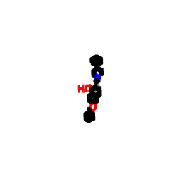 O[C@@H]1c2ccc(OCc3ccccc3)cc2CC[C@H]1CCN1CCC(c2ccccc2)CC1